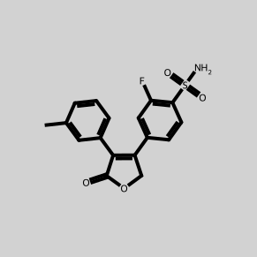 Cc1cccc(C2=C(c3ccc(S(N)(=O)=O)c(F)c3)COC2=O)c1